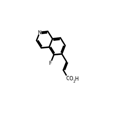 O=C(O)C=Cc1ccc2cnccc2c1F